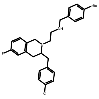 CC(C)(C)c1ccc(CNCCN2Cc3ccc(F)cc3CC2Cc2ccc(Cl)cc2)cc1